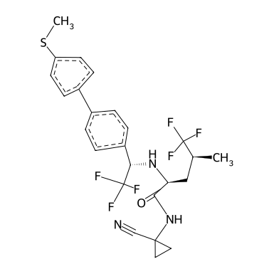 CSc1ccc(-c2ccc([C@H](N[C@@H](C[C@H](C)C(F)(F)F)C(=O)NC3(C#N)CC3)C(F)(F)F)cc2)cc1